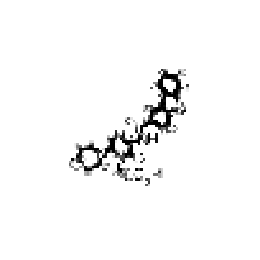 C[C@@H](Nc1ncc(N2CCOCC2)n(CC(=O)O)c1=O)c1ccc2oc3ccccc3c2c1